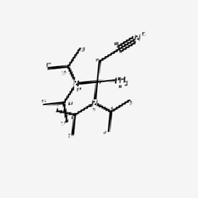 CC(C)N(C(C)C)C(P)(CC#N)N(C(C)C)C(C)C